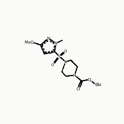 COc1cc(S(=O)(=O)N2CCN(C(=O)OC(C)(C)C)CC2)n(C)n1